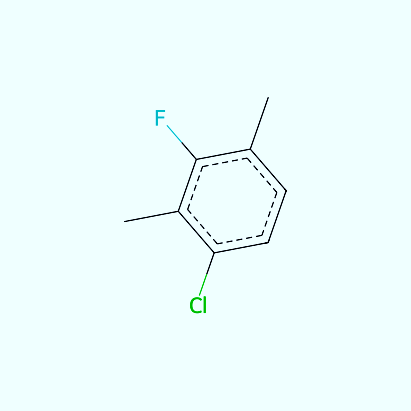 Cc1ccc(Cl)c(C)c1F